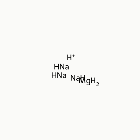 [H+].[MgH2].[NaH].[NaH].[NaH]